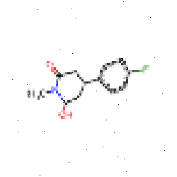 CN1C(=O)CC(c2ccc(F)cc2)CC1O